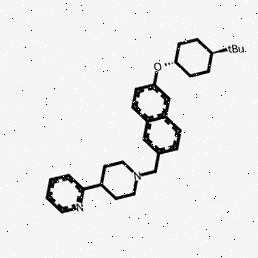 CC(C)(C)[C@H]1CC[C@H](Oc2ccc3cc(CN4CCC(c5ccccn5)CC4)ccc3c2)CC1